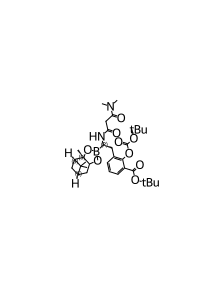 CN(C)C(=O)CC(=O)N[C@@H](Cc1cccc(C(=O)OC(C)(C)C)c1OC(=O)OC(C)(C)C)B1OC2C[C@@H]3C[C@@H](C3(C)C)[C@]2(C)O1